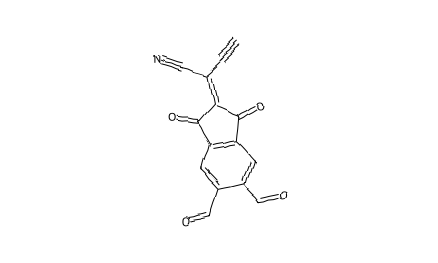 C#CC(C#N)=C1C(=O)c2cc(C=O)c(C=O)cc2C1=O